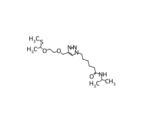 CSC(C)OCCOCc1cn(CCCCCC(=O)NC(C)C)nn1